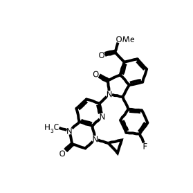 COC(=O)c1cccc2c1C(=O)N(c1ccc3c(n1)N(C1CC1)CC(=O)N3C)C2c1ccc(F)cc1